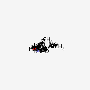 CCOC(=O)CN1CCN(/C(=N\C2C[C@@H]3C[C@H]([C@@H]2C)C3(C)C)Nc2ccc3c(=O)n(CCc4ccc(OC)cc4F)cnc3c2)CC1